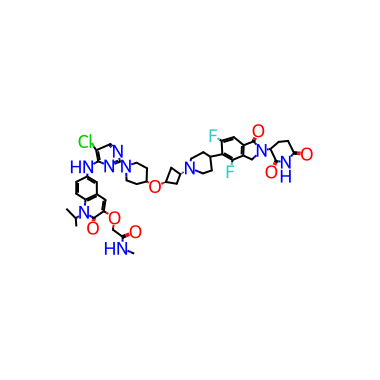 CNC(=O)COc1cc2cc(Nc3nc(N4CCC(O[C@H]5C[C@H](N6CCC(c7c(F)cc8c(c7F)CN(C7CCC(=O)NC7=O)C8=O)CC6)C5)CC4)ncc3Cl)ccc2n(C(C)C)c1=O